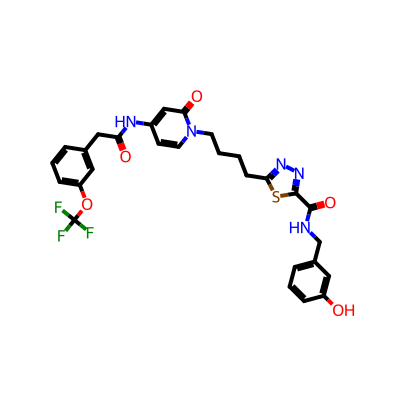 O=C(Cc1cccc(OC(F)(F)F)c1)Nc1ccn(CCCCc2nnc(C(=O)NCc3cccc(O)c3)s2)c(=O)c1